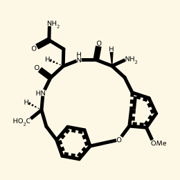 COc1ccc2cc1Oc1ccc(cc1)C[C@@H](C(=O)O)NC(=O)[C@@H](CC(N)=O)NC(=O)[C@H](N)C2